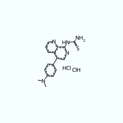 CN(C)c1ccc(-c2cnc(NC(N)=S)c3ncccc23)cc1.Cl.Cl